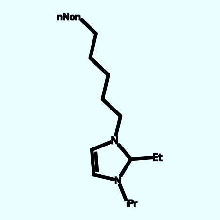 CCCCCCCCCCCCCCN1C=CN(C(C)C)C1CC